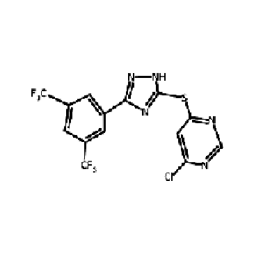 FC(F)(F)c1cc(-c2n[nH]c(Sc3cc(Cl)ncn3)n2)cc(C(F)(F)F)c1